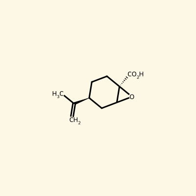 C=C(C)[C@H]1CC[C@@]2(C(=O)O)OC2C1